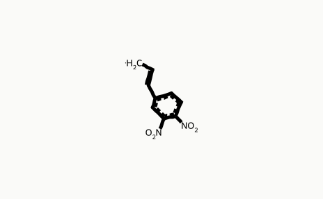 [CH2]C=Cc1ccc([N+](=O)[O-])c([N+](=O)[O-])c1